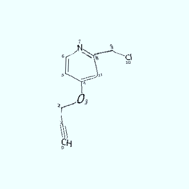 C#CCOc1ccnc(CCl)c1